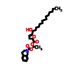 CCCCCCCCCCCCCC(O)C1=CCC(C(=O)OC(C)OC(=O)N2CCc3ccccc3C2)O1